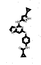 O=C(Nc1ccc(Sc2cc3nccn3c(Nc3cc(C4CC4)[nH]n3)n2)cc1)C1CC1